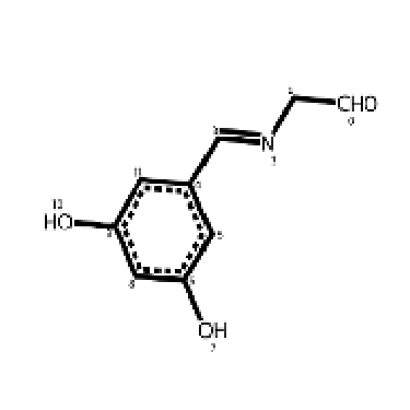 O=CCN=Cc1cc(O)cc(O)c1